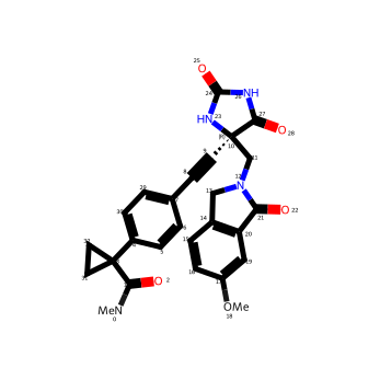 CNC(=O)C1(c2ccc(C#C[C@]3(CN4Cc5ccc(OC)cc5C4=O)NC(=O)NC3=O)cc2)CC1